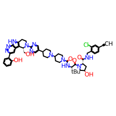 C#Cc1ccc(CNC(=O)[C@@H]2C[C@@H](O)CN2C(=O)[C@@H](NC(=O)N2CCC(N3CCC(c4cnc(N5CCc6[nH]c7nnc(-c8ccccc8O)cc7c6[C@H]5CO)nc4)CC3)CC2)C(C)(C)C)c(Cl)c1